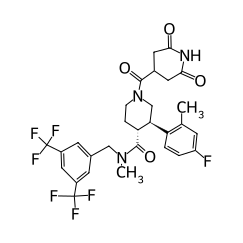 Cc1cc(F)ccc1[C@@H]1CN(C(=O)C2CC(=O)NC(=O)C2)CC[C@H]1C(=O)N(C)Cc1cc(C(F)(F)F)cc(C(F)(F)F)c1